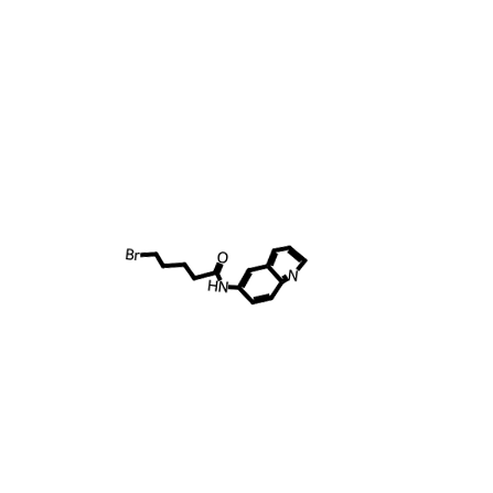 O=C(CCCCBr)Nc1ccc2ncccc2c1